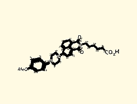 COc1ccc(N2CCN(c3ccc4c5c(cccc35)C(=O)N(CCCCCC(=O)O)C4=O)CC2)cc1